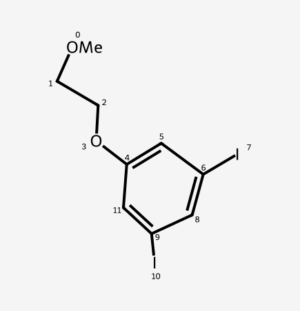 COCCOc1cc(I)cc(I)c1